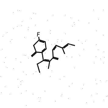 C=C1CC(F)=CC=C1/C(CC)=C(/C)C(=C)/C=C\C(C)=C\C